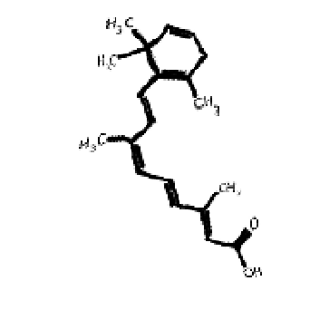 CC1=C(/C=C/C(C)=C\C=C\C(C)=C\C(=O)O)C(C)(C)C=CC1